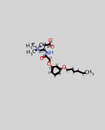 CCCCCCOc1cccc(OCC(=O)N[C@H](CC(=O)[O-])C[N+](C)(C)C)c1